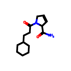 NC(=O)C1C=CCN1C(=O)CCC1CCCCC1